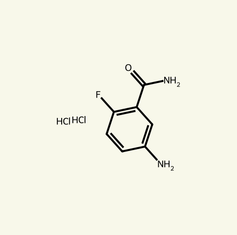 Cl.Cl.NC(=O)c1cc(N)ccc1F